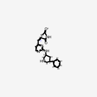 O=C1NC(=O)/C(=C\c2ccnc(NC3CNCC(c4ccccc4)C3)n2)S1